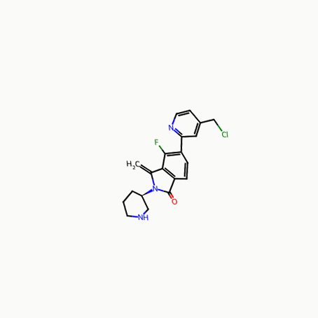 C=C1c2c(ccc(-c3cc(CCl)ccn3)c2F)C(=O)N1[C@@H]1CCCNC1